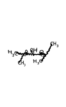 CCCCCCCCC(CCCCCC)COC(=O)CCCCCN(CCO)CCCCCC(=O)OCC(CCCCCC)CCCCCCC